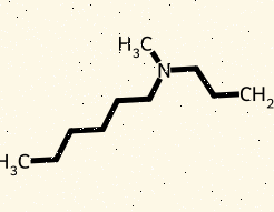 [CH2]CCN(C)CCCCCC